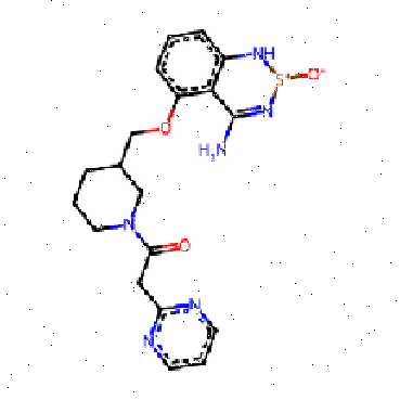 NC1=N[S+]([O-])Nc2cccc(OCC3CCCN(C(=O)Cc4ncccn4)C3)c21